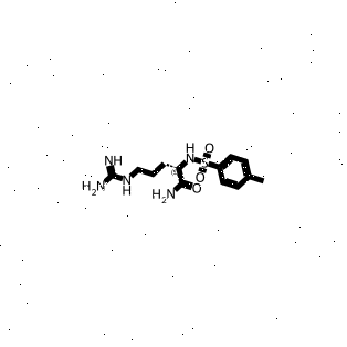 Cc1ccc(S(=O)(=O)N[C@@H](CCCNC(=N)N)C(N)=O)cc1